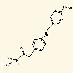 CC(=O)Nc1ccc(C#Cc2ccc(CC(=O)NNC(=O)O)cc2)cc1